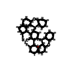 Fc1ccccc1-c1c(N2c3ccccc3Oc3ccccc32)cc(N2c3ccccc3Oc3ccccc32)c(-c2ccccc2F)c1C(F)(F)F